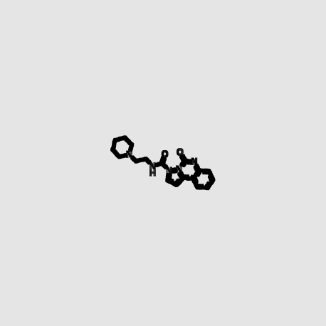 O=C(NCCN1CCCCC1)n1ccc2c3ccccc3nc(=O)n21